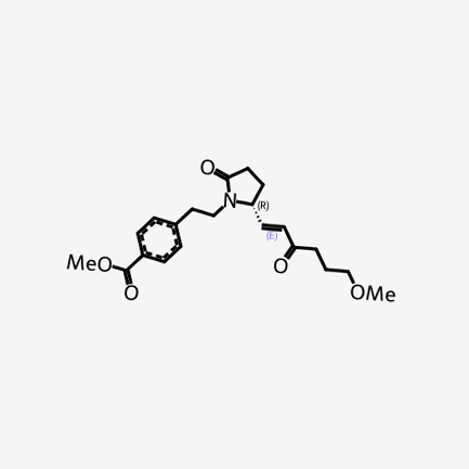 COCCCC(=O)/C=C/[C@H]1CCC(=O)N1CCc1ccc(C(=O)OC)cc1